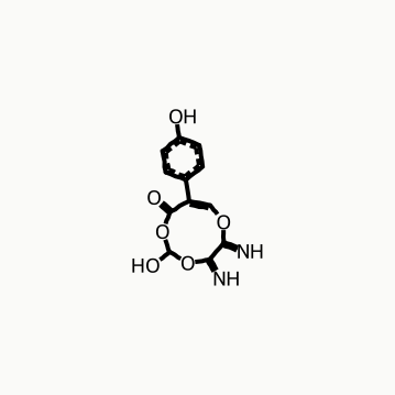 N=C1O/C=C(/c2ccc(O)cc2)C(=O)OC(O)OC1=N